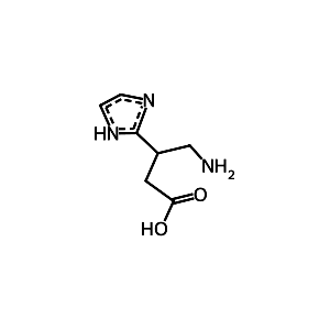 NCC(CC(=O)O)c1ncc[nH]1